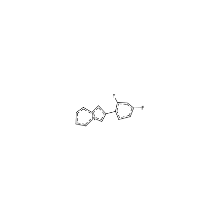 Fc1ccc(-c2cc3ccccn3c2)c(F)c1